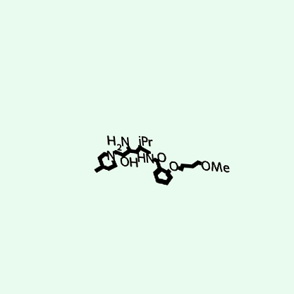 COCCCCOc1ccccc1C(=O)NCC(CC(N)C(O)CN1CCC(C)CC1)C(C)C